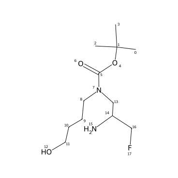 CC(C)(C)OC(=O)N(CCCCO)CC(N)CF